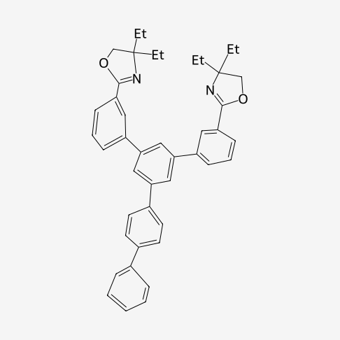 CCC1(CC)COC(c2cccc(-c3cc(-c4ccc(-c5ccccc5)cc4)cc(-c4cccc(C5=NC(CC)(CC)CO5)c4)c3)c2)=N1